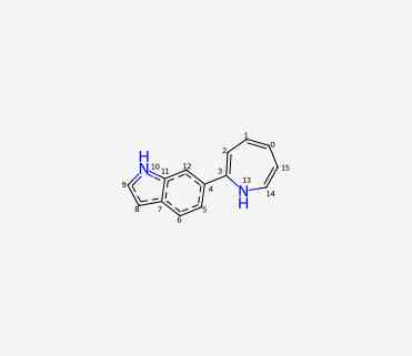 C1=CC=C(c2ccc3cc[nH]c3c2)NC=C1